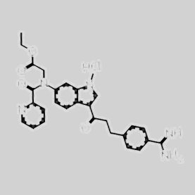 CCOC(=O)CN(C(=O)c1ccccn1)c1ccc2c(C(=O)CCc3ccc(C(=N)N)cc3)cn(C)c2c1.Cl